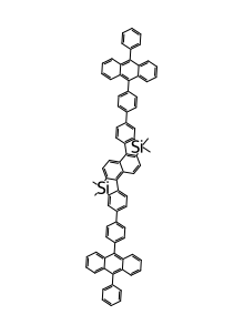 C[Si]1(C)c2cc(-c3ccc(-c4c5ccccc5c(-c5ccccc5)c5ccccc45)cc3)ccc2-c2c1ccc1c3c(ccc21)[Si](C)(C)c1cc(-c2ccc(-c4c5ccccc5c(-c5ccccc5)c5ccccc45)cc2)ccc1-3